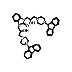 O=c1n(CC(O)CN2CCN(C3C4=CCCC=C4c4ccccc43)CC2)c2ccccc2n1CC(O)CN1CCN(C2C3=C(C=C=C=C3)c3ccccc32)CC1